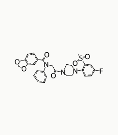 CS(=O)(=O)c1cc(F)ccc1N1CCN(C(=O)CN(C(=O)c2ccc3c(c2)OCO3)c2ccccc2)CC1